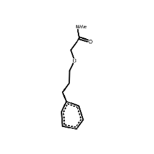 CNC(=O)COCCCc1ccccc1